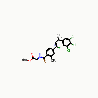 CC(C)(C)OC(=O)CNC(=S)c1ccc(/C(F)=C/C(c2cc(Cl)c(Cl)c(Cl)c2)C(F)(F)F)cc1C(F)(F)F